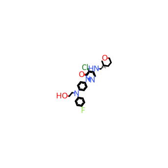 O=c1c(Cl)c(NC[C@@H]2CCCOC2)cnn1-c1ccc(N(CCO)c2ccc(F)cc2)cc1